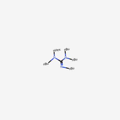 CCCCCCN(CCCC)C(=NCCCC)N(CCCC)CCCC